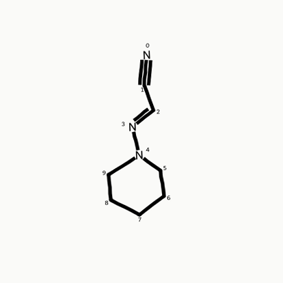 N#C/C=N/N1CCCCC1